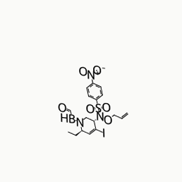 C=CCON([C@H]1CN(BC=O)[C@H](CC)C=C1I)S(=O)(=O)c1ccc([N+](=O)[O-])cc1